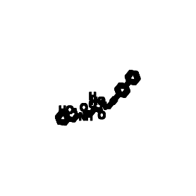 O=C(C[C@H](O)C(=O)N(O)CC#Cc1ccc(-c2ccccc2)cc1)N[C@H](CO)Cc1ccccc1